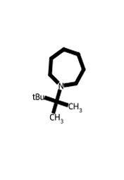 CC(C)(C)C(C)(C)N1CCCCCC1